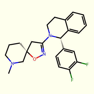 CN1CCC[C@@]2(CC(N3CCc4ccccc4[C@@H]3c3ccc(F)c(F)c3)=NO2)C1